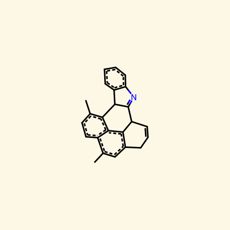 Cc1ccc2c(C)cc3c4c2c1C1C(=Nc2ccccc21)C4C=CC3